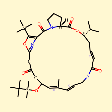 CC1=C\C(O[Si](C)(C)C(C)(C)C)CC(=O)Cc2nc(c([Si](C)(C)C)o2)C(=O)N2CCC[C@@H]2C(=O)O[C@H](C(C)C)C/C=C/C(=O)NC\C=C\1